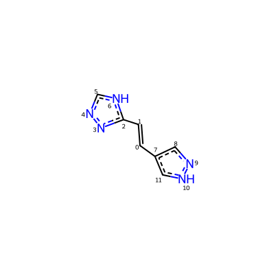 C(=Cc1nnc[nH]1)c1cn[nH]c1